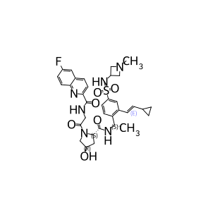 C[C@H](NC(=O)[C@@H]1C[C@@H](O)CN1C(=O)CNC(=O)c1ccc2cc(F)ccc2n1)c1ccc(S(=O)(=O)NC2CN(C)C2)cc1/C=C/C1CC1